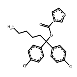 CCCCCC(OC(=O)n1ccnc1)(c1ccc(Cl)cc1)c1ccc(Cl)cc1